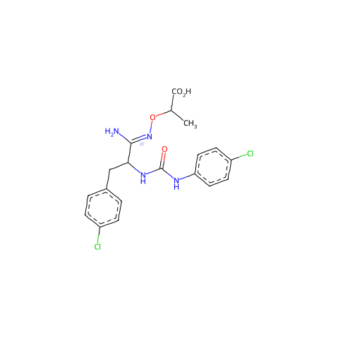 CC(O/N=C(\N)C(Cc1ccc(Cl)cc1)NC(=O)Nc1ccc(Cl)cc1)C(=O)O